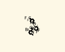 Cc1ccc(Br)c(C(=O)N2CC(F)(F)C[C@@H](C)[C@H]2COc2ccc(C(F)(F)F)cn2)n1